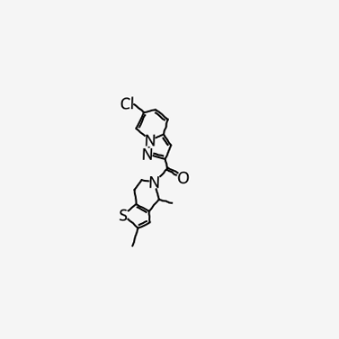 Cc1cc2c(s1)CCN(C(=O)c1cc3ccc(Cl)cn3n1)C2C